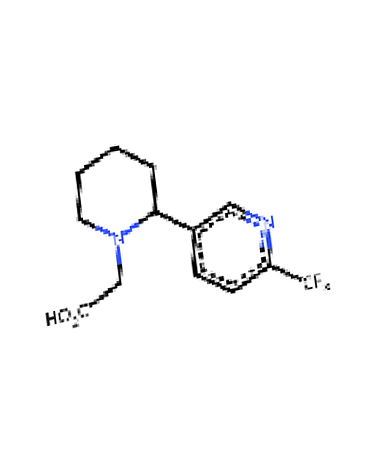 O=C(O)CN1CCCCC1c1ccc(C(F)(F)F)nc1